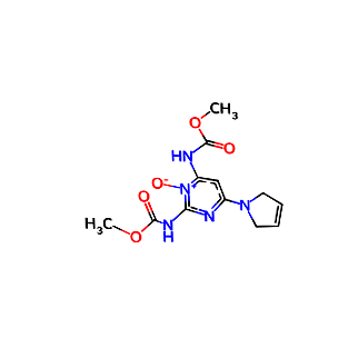 COC(=O)Nc1cc(N2CC=CC2)nc(NC(=O)OC)[n+]1[O-]